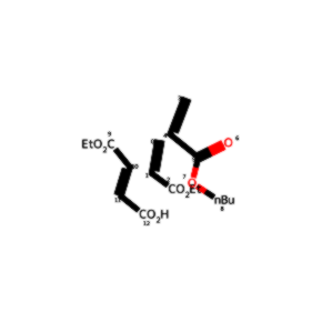 C=CC(=O)OCC.C=CC(=O)OCCCC.CCOC(=O)/C=C/C(=O)O